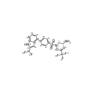 NCCN(OC(=O)C(F)(F)F)S(=O)(=O)c1ccc(-c2ccnc3[nH]c(C(F)F)cc23)cc1